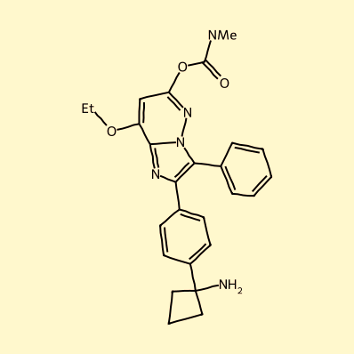 CCOc1cc(OC(=O)NC)nn2c(-c3ccccc3)c(-c3ccc(C4(N)CCC4)cc3)nc12